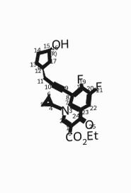 CCOC(=O)c1cn(C2CC2)c2c(C#CC[C@H]3CC[C@@H](O)C3)c(F)c(F)cc2c1=O